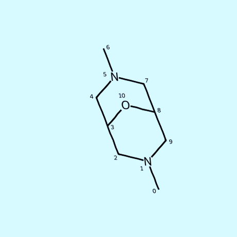 CN1CC2CN(C)CC(C1)O2